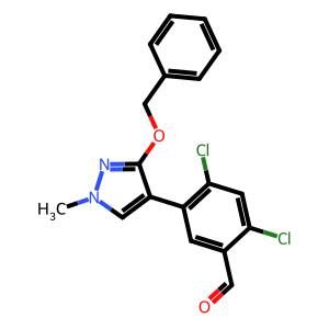 Cn1cc(-c2cc(C=O)c(Cl)cc2Cl)c(OCc2ccccc2)n1